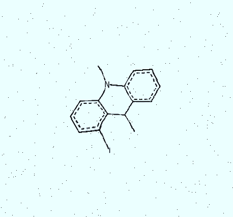 CC1c2ccccc2N(C)c2cccc(I)c21